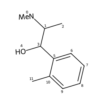 CNC(C)C(O)c1ccccc1C